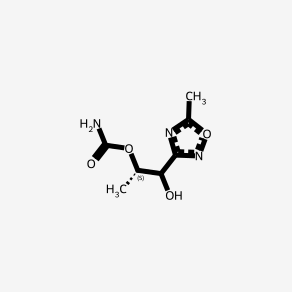 Cc1nc(C(O)[C@H](C)OC(N)=O)no1